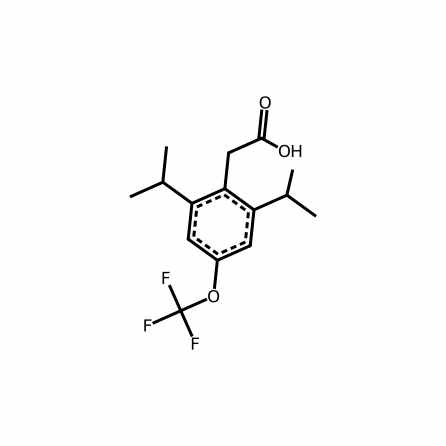 CC(C)c1cc(OC(F)(F)F)cc(C(C)C)c1CC(=O)O